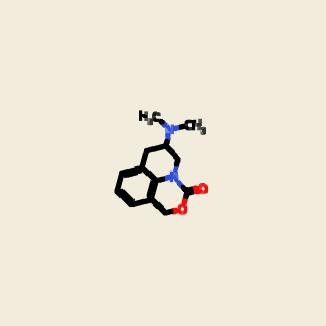 CN(C)C1Cc2cccc3c2N(C1)C(=O)OC3